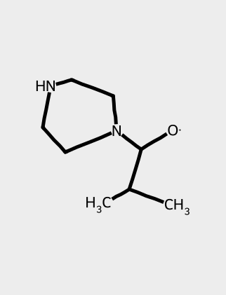 CC(C)C([O])N1CCNCC1